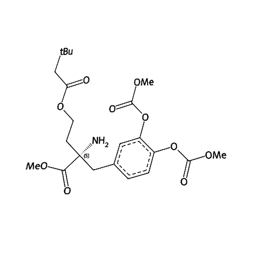 COC(=O)Oc1ccc(C[C@](N)(CCOC(=O)CC(C)(C)C)C(=O)OC)cc1OC(=O)OC